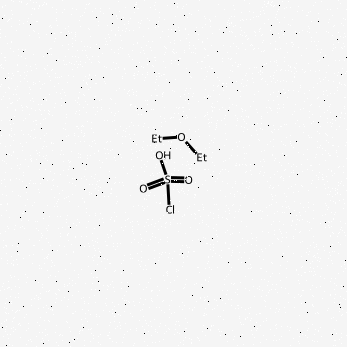 CCOCC.O=S(=O)(O)Cl